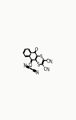 N#CC#N.N#Cc1sc2c(=O)c3ccccc3c(=O)c=2sc1C#N